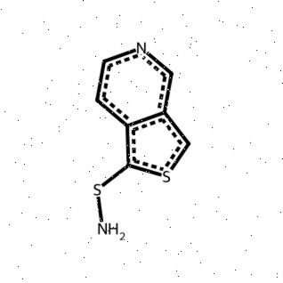 NSc1scc2cnccc12